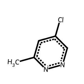 Cc1cc(Cl)cnn1